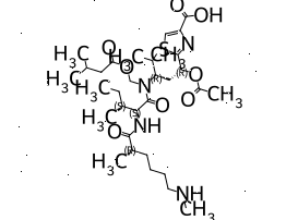 CC[C@H](C)[C@H](NC(=O)[C@H](C)CCCCNC)C(=O)N(COC(=O)CC(C)C)[C@H](C[C@@H](OC(C)=O)c1nc(C(=O)O)cs1)C(C)C